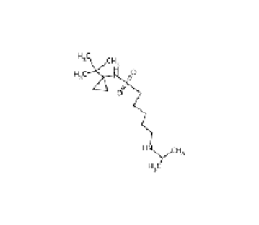 CC(C)NCCCCCS(=O)(=O)NC1(C(C)(C)C)CC1